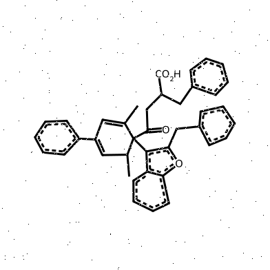 CC1=CC(c2ccccc2)=CC(C)C1(C(=O)CC(Cc1ccccc1)C(=O)O)c1c(Cc2ccccc2)oc2ccccc12